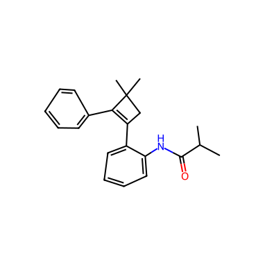 CC(C)C(=O)Nc1ccccc1C1=C(c2ccccc2)C(C)(C)C1